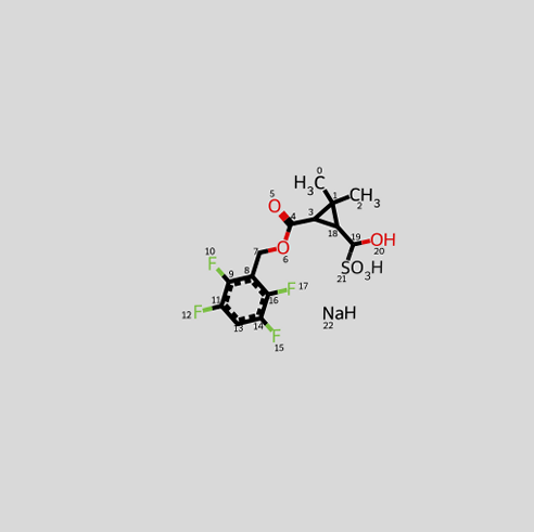 CC1(C)C(C(=O)OCc2c(F)c(F)cc(F)c2F)C1C(O)S(=O)(=O)O.[NaH]